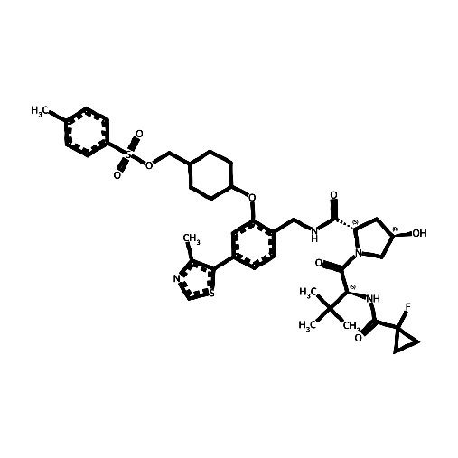 Cc1ccc(S(=O)(=O)OCC2CCC(Oc3cc(-c4scnc4C)ccc3CNC(=O)[C@@H]3C[C@@H](O)CN3C(=O)[C@@H](NC(=O)C3(F)CC3)C(C)(C)C)CC2)cc1